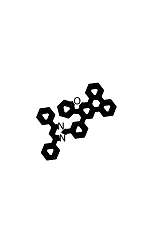 c1ccc(-c2cc(-c3ccccc3)nc(-c3cccc(-c4cc5c6ccccc6c6ccccc6c5c5oc6ccccc6c45)c3)n2)cc1